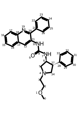 COCCN1C[C@@H](NC(=O)Nc2cc3ccccc3nc2-c2ccccc2)[C@H](c2ccccc2)C1